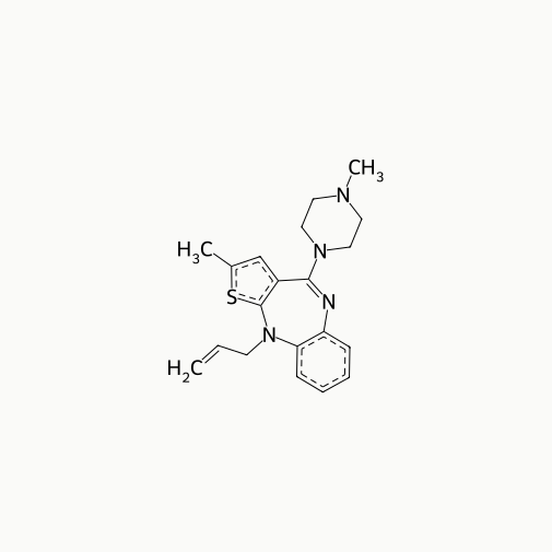 C=CCN1c2ccccc2N=C(N2CCN(C)CC2)c2cc(C)sc21